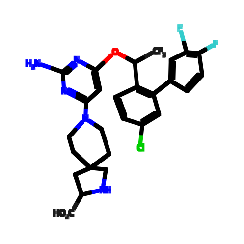 Nc1nc(OC(c2ccc(Cl)cc2-c2ccc(F)c(F)c2)C(F)(F)F)cc(N2CCC3(CC2)CNC(C(=O)O)C3)n1